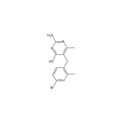 Cc1cc(Br)ccc1Cc1c(C)nc(N)nc1O